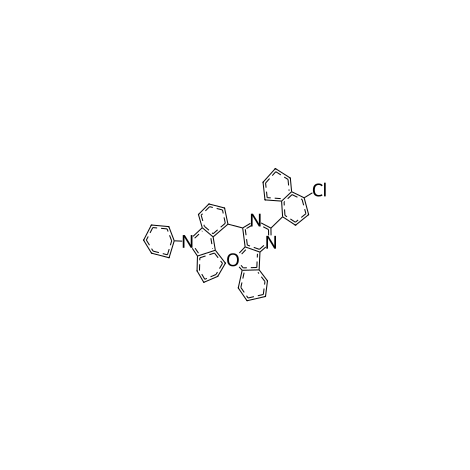 Clc1ccc(-c2nc(-c3cccc4c3c3ccccc3n4-c3ccccc3)c3oc4ccccc4c3n2)c2ccccc12